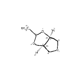 CC1O[C@H]2COC[C@H]2O1